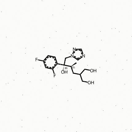 C[C@@H](CC(CO)CO)[C@](O)(Cn1cncn1)c1ccc(F)cc1F